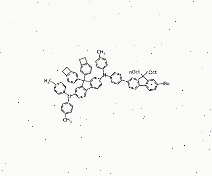 CCCCCCCCC1(CCCCCCCC)c2cc(-c3ccc(N(c4ccc(C)cc4)c4ccc5c(c4)C(c4ccc6c(c4)CC6)(c4ccc6c(c4)CC6)c4cc(N(c6ccc(C)cc6)c6ccc(C)cc6)ccc4-5)cc3)ccc2-c2ccc(C(C)CC)cc21